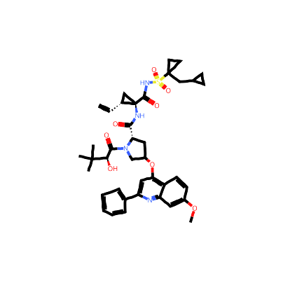 C=C[C@@H]1C[C@]1(NC(=O)[C@@H]1CC(Oc2cc(-c3ccccc3)nc3cc(OC)ccc23)CN1C(=O)[C@@H](O)C(C)(C)C)C(=O)NS(=O)(=O)C1(CC2CC2)CC1